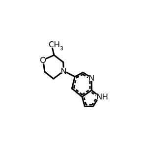 CC1CN(c2cnc3[nH]ccc3c2)CCO1